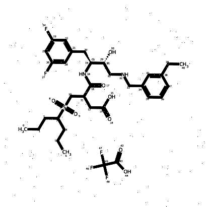 CCCC(CCC)S(=O)(=O)CC(CC(=O)O)C(=O)N[C@@H](Cc1cc(F)cc(F)c1)[C@H](O)CNCc1cccc(CC)c1.O=C(O)C(F)(F)F